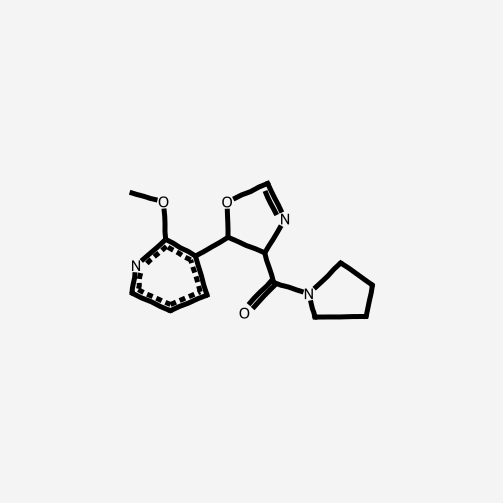 COc1ncccc1C1OC=NC1C(=O)N1CCCC1